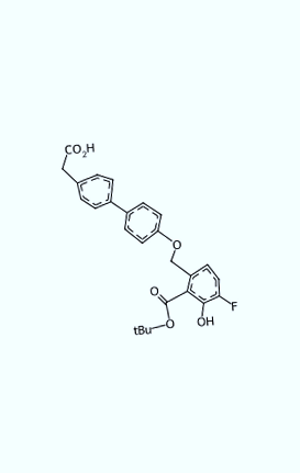 CC(C)(C)OC(=O)c1c(COc2ccc(-c3ccc(CC(=O)O)cc3)cc2)ccc(F)c1O